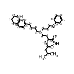 CC(C)CC(=O)NC(CCN(CCCCc1ccc2c(n1)NCCC2)CCCOc1ccccc1)C(=O)O